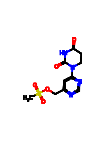 CS(=O)(=O)OCc1cc(N2CCC(=O)NC2=O)ncn1